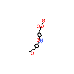 COCCOC(=O)CCc1ccc(-c2nnc(-c3ccc(CCC(C)=O)cc3)o2)cc1